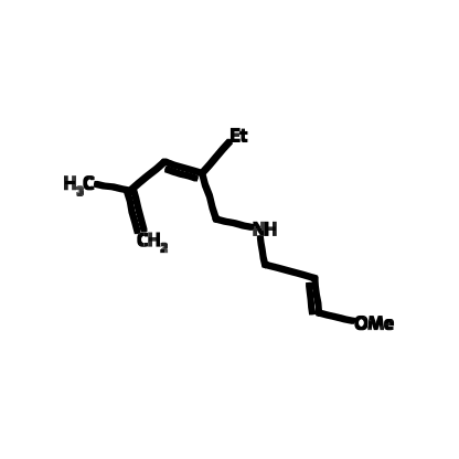 C=C(C)/C=C(/CC)CNC/C=C/OC